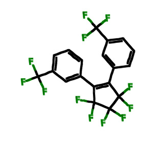 FC(F)(F)c1cccc(C2=C(c3cccc(C(F)(F)F)c3)C(F)(F)C(F)(F)C2(F)F)c1